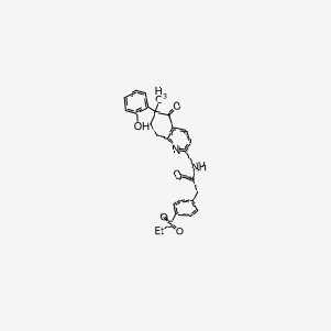 CCS(=O)(=O)c1ccc(CC(=O)Nc2ccc3c(n2)CCC(C)(c2ccccc2O)C3=O)cc1